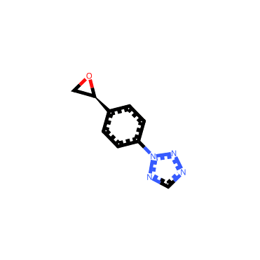 c1nnn(-c2ccc([C@H]3CO3)cc2)n1